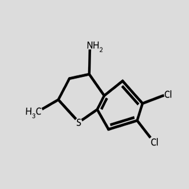 CC1CC(N)c2cc(Cl)c(Cl)cc2S1